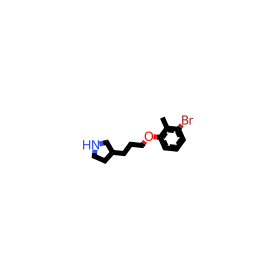 Cc1c(Br)cccc1OCCCC1CCNC1